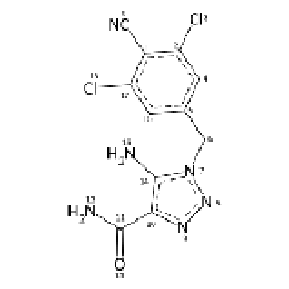 N#Cc1c(Cl)cc(Cn2nnc(C(N)=O)c2N)cc1Cl